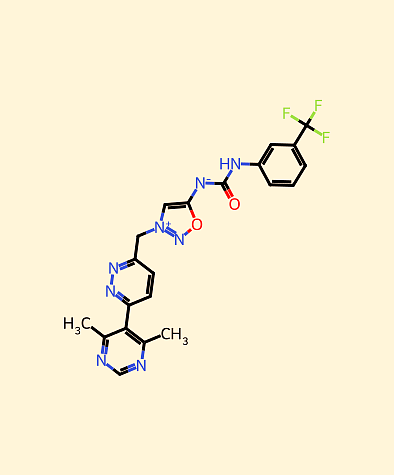 Cc1ncnc(C)c1-c1ccc(C[n+]2cc([N-]C(=O)Nc3cccc(C(F)(F)F)c3)on2)nn1